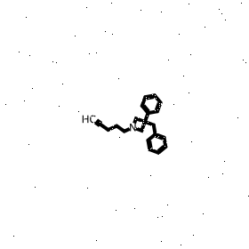 C#CCCCN1CC(Cc2ccccc2)(c2ccccc2)C1